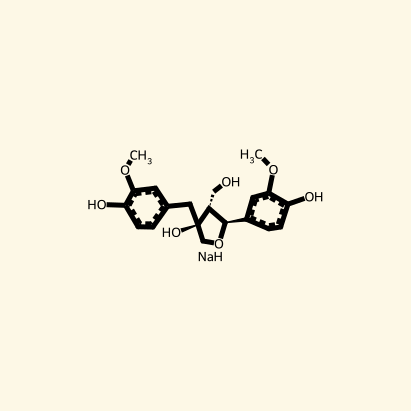 COc1cc(C[C@@]2(O)CO[C@H](c3ccc(O)c(OC)c3)[C@H]2CO)ccc1O.[NaH]